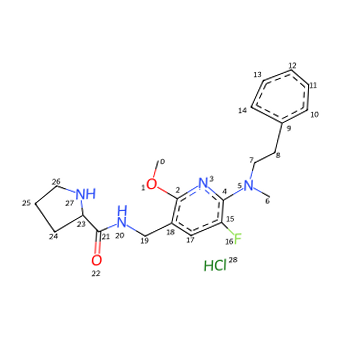 COc1nc(N(C)CCc2ccccc2)c(F)cc1CNC(=O)C1CCCN1.Cl